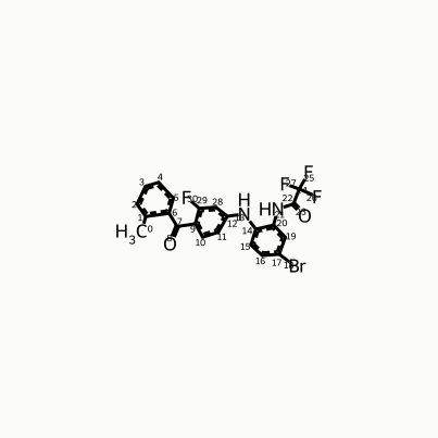 Cc1ccccc1C(=O)c1ccc(Nc2ccc(Br)cc2NC(=O)C(F)(F)F)cc1F